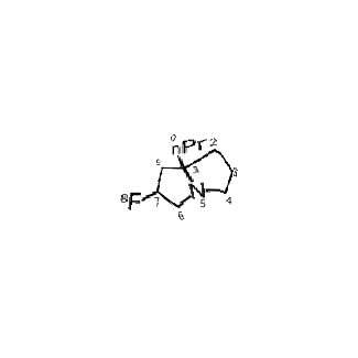 CCCC12CCCN1CC(F)C2